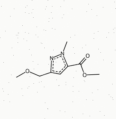 COCc1cc(C(=O)OC)n(C)n1